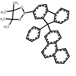 CC1(C)OB(c2ccc3c(c2)C(c2ccccc2)(c2ccc4c(ccc5ccccc54)c2)c2ccccc2-3)OC1(C)C